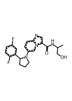 CC(CO)NC(=O)c1cnc2ccc(N3CCCC3c3cc(F)ccc3F)cn12